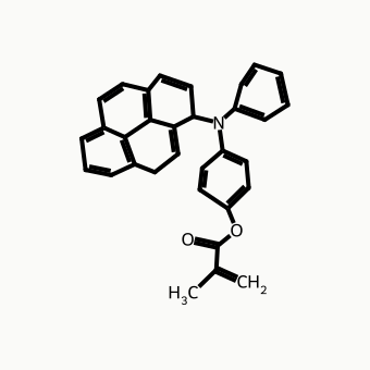 C=C(C)C(=O)Oc1ccc(N(c2ccccc2)C2C=Cc3ccc4cccc5c4c3C2=CC5)cc1